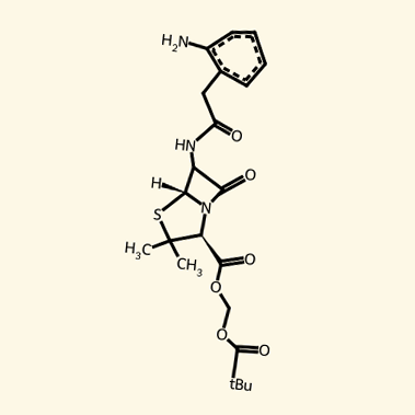 CC(C)(C)C(=O)OCOC(=O)[C@@H]1N2C(=O)C(NC(=O)Cc3ccccc3N)[C@H]2SC1(C)C